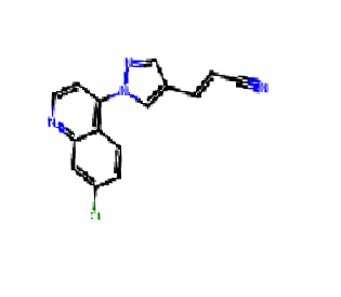 N#C/C=C/c1cnn(-c2ccnc3cc(Cl)ccc23)c1